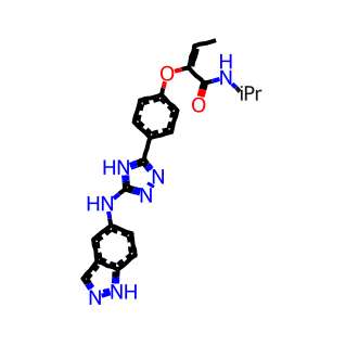 C/C=C(/Oc1ccc(-c2nnc(Nc3ccc4[nH]ncc4c3)[nH]2)cc1)C(=O)NC(C)C